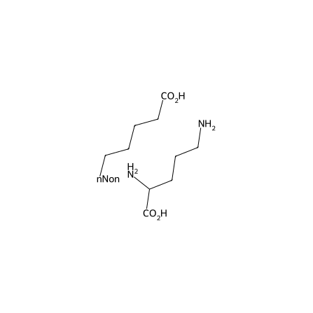 CCCCCCCCCCCCCC(=O)O.NCCCC(N)C(=O)O